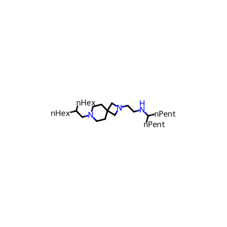 CCCCCCC(CCCCCC)CN1CCC2(CC1)CN(CCNC(CCCCC)CCCCC)C2